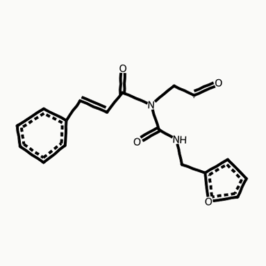 O=[C]CN(C(=O)/C=C/c1ccccc1)C(=O)NCc1ccco1